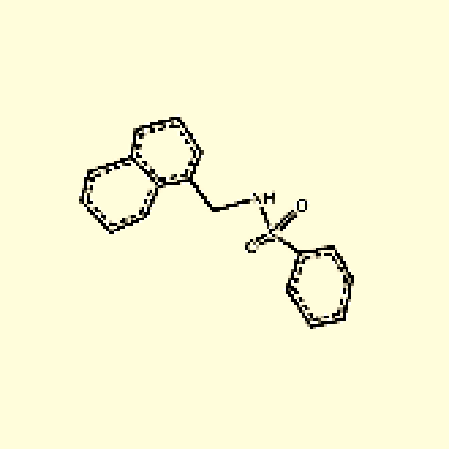 O=S(=O)(NCc1cccc2ccccc12)c1ccccc1